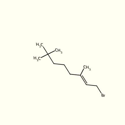 C/C(=C\CBr)CCCC(C)(C)C